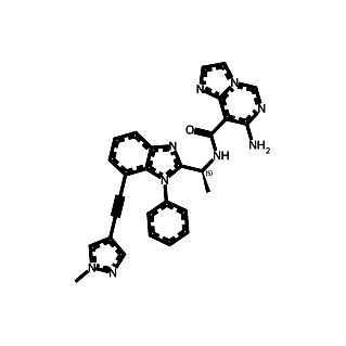 C[C@H](NC(=O)c1c(N)ncn2ccnc12)c1nc2cccc(C#Cc3cnn(C)c3)c2n1-c1ccccc1